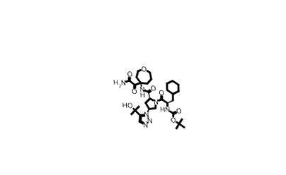 CC(C)(C)OC(=O)N[C@H](CC1CCCCC1)C(=O)N1C[C@@H](n2nncc2C(C)(C)O)C[C@H]1C(=O)N[C@]1(C(=O)C(N)=O)CCCOCC1